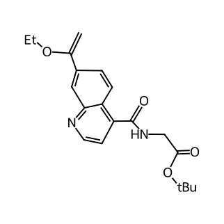 C=C(OCC)c1ccc2c(C(=O)NCC(=O)OC(C)(C)C)ccnc2c1